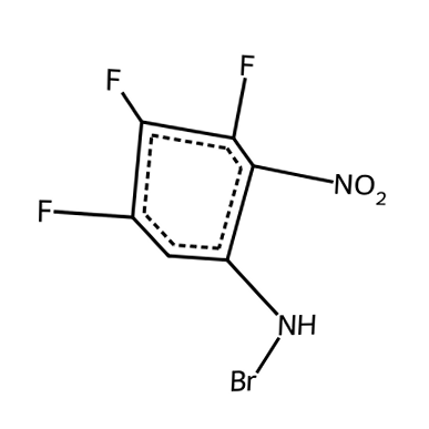 O=[N+]([O-])c1c(NBr)cc(F)c(F)c1F